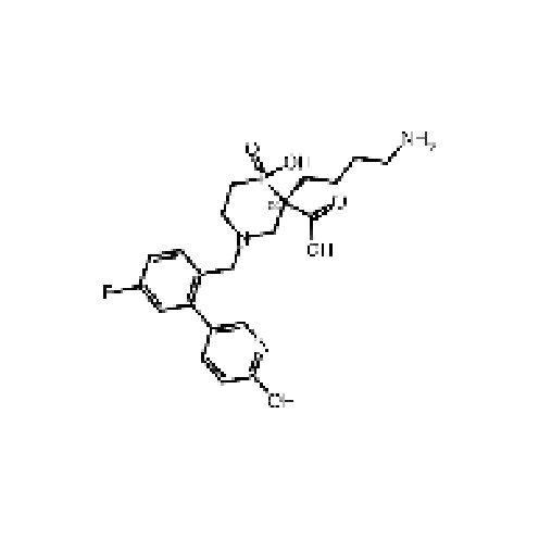 NCCCC[C@@]1(C(=O)O)CN(Cc2ccc(F)cc2-c2ccc(O)nc2)CCP1(=O)O